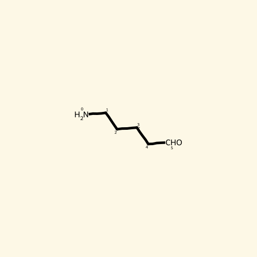 NCC[CH]CC=O